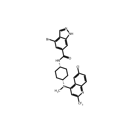 CN(c1cc(C(F)(F)F)nc2ccc(Cl)cc12)[C@H]1CC[C@@H](NC(=O)c2cc(Br)c3cn[nH]c3c2)CC1